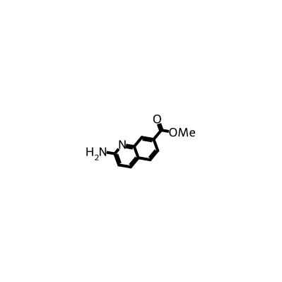 COC(=O)c1ccc2ccc(N)nc2c1